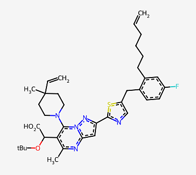 C=CCCCCc1cc(F)ccc1Cc1cnc(-c2cc3nc(C)c(C(OC(C)(C)C)C(=O)O)c(N4CCC(C)(C=C)CC4)n3n2)s1